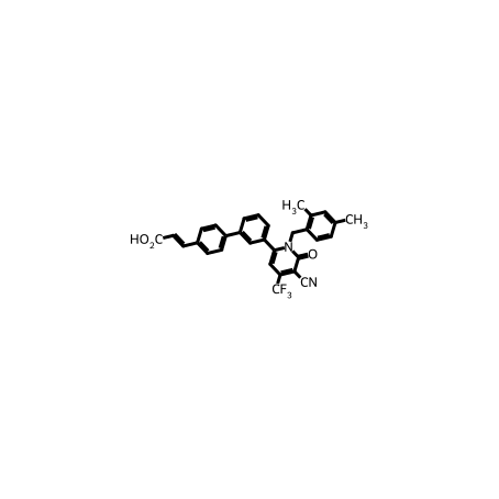 Cc1ccc(Cn2c(-c3cccc(-c4ccc(C=CC(=O)O)cc4)c3)cc(C(F)(F)F)c(C#N)c2=O)c(C)c1